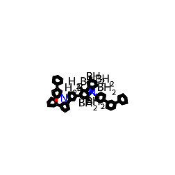 Bc1c(B)c(B)c2c(c1B)c1c(B)c(-c3ccc4c(c3)c3cccc(-c5ccccc5)c3n4-c3cccc(-c4ccccc4)c3)c(B)c(B)c1n2-c1ccc(-c2cccc(-c3ccccc3)c2)cc1